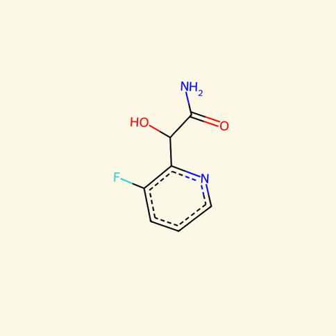 NC(=O)C(O)c1ncccc1F